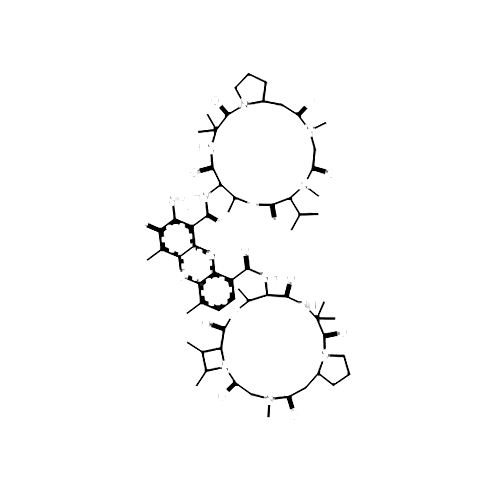 Cc1c2oc3c(C)ccc(C(=O)NC4C(=O)NC(C)(C)C(=O)N5CCCC5CC(=O)N(C)CC(=O)N5C(C)C(C)C5C(=O)OC4C)c3nc-2c(C(=O)NC2C(=O)NC(C)(C)C(=O)N3CCCC3CC(=O)N(C)CC(=O)N(C)C(C(C)C)C(=O)OC2C)c(N)c1=O